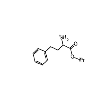 CC(C)OC(=O)C(N)CCc1ccccc1